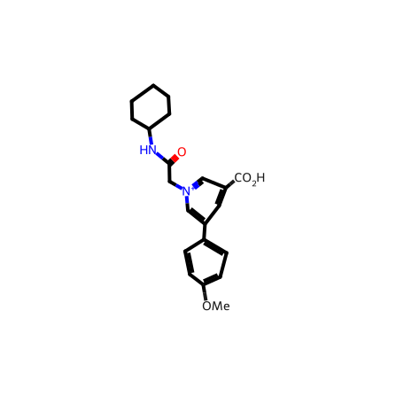 COc1ccc(-c2cc(C(=O)O)c[n+](CC(=O)NC3CCCCC3)c2)cc1